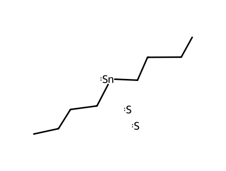 CCC[CH2][Sn][CH2]CCC.[S].[S]